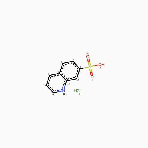 Cl.O=S(=O)(O)c1ccc2cccnc2c1